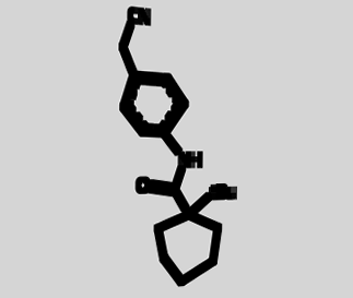 CC(C)(C)C1(C(=O)Nc2ccc(CC#N)cc2)CCCCC1